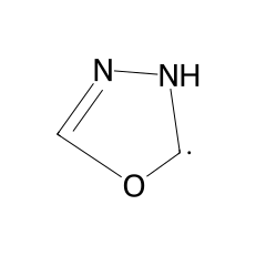 [CH]1NN=CO1